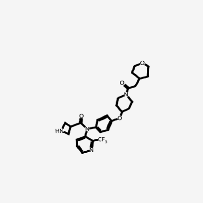 O=C(CC1CCOCC1)N1CCC(Oc2ccc(N(C(=O)C3CNC3)c3cccnc3C(F)(F)F)cc2)CC1